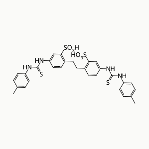 Cc1ccc(NC(=S)Nc2ccc(CCc3ccc(NC(=S)Nc4ccc(C)cc4)cc3S(=O)(=O)O)c(S(=O)(=O)O)c2)cc1